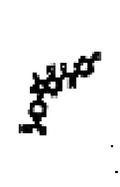 Cc1nn(C2CCN(C(=O)O)CC2)c2ncc(C(=O)Nc3ccc(Cl)cc3)c(Cl)c12